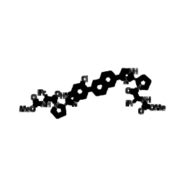 COC(=O)N[C@H](C(=O)N1CCC[C@H]1c1nc(-c2ccc3cc(-c4cc5nc([C@@H]6CCCN6C(=O)[C@@H](NC(=O)OC)C(C)C)[nH]c5cc4Cl)ccc3c2)c[nH]1)C(C)C